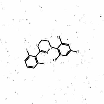 Fc1cccc(F)c1C1=NN(c2c(Cl)cc(Cl)cc2Cl)CCO1